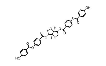 O=C(Oc1ccc(C(=O)O[C@@H]2CO[C@@H]3[C@H]2OC[C@H]3OC(=O)c2ccc(OC(=O)c3ccc(O)cc3)cc2)cc1)c1ccc(O)cc1